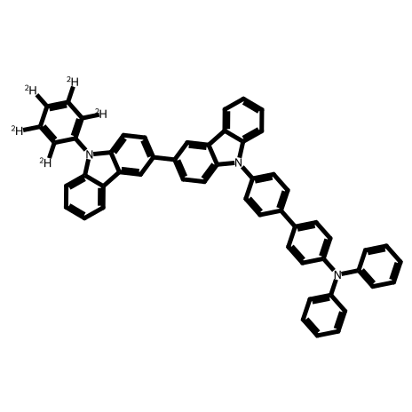 [2H]c1c([2H])c([2H])c(-n2c3ccccc3c3cc(-c4ccc5c(c4)c4ccccc4n5-c4ccc(-c5ccc(N(c6ccccc6)c6ccccc6)cc5)cc4)ccc32)c([2H])c1[2H]